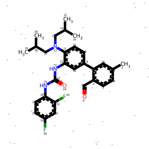 Cc1ccc(C=O)c(-c2ccc(N(CC(C)C)CC(C)C)c(NC(=O)Nc3ccc(F)cc3F)c2)c1